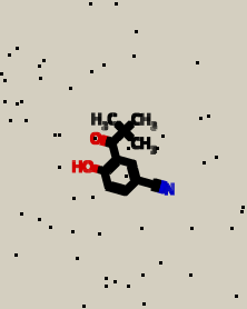 CC(C)(C)C(=O)c1cc(C#N)ccc1O